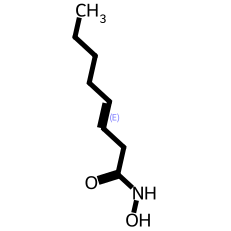 CCCC/C=C/CC(=O)NO